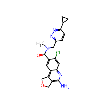 CN(Cc1ccc(C2CC2)nn1)C(=O)c1cc2c3c(c(N)nc2cc1Cl)COC3